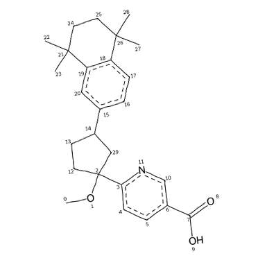 COC1(c2ccc(C(=O)O)cn2)CCC(c2ccc3c(c2)C(C)(C)CCC3(C)C)C1